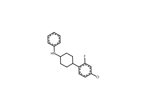 Fc1cc(Cl)ccc1C1CCC(Nc2ccccc2)CC1